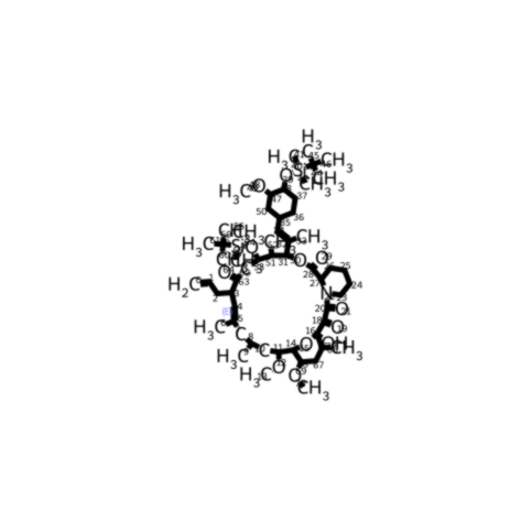 C=CCC1/C=C(\C)CC(C)CC(OC)C2OC(O)(C(=O)C(=O)N3CCCCC3C(=O)OC(C(C)=CC3CCC(O[Si](C)(C)C(C)(C)C)C(OC)C3)C(C)C(O[Si](C)(C)C(C)(C)C)CC1=O)C(C)CC2OC